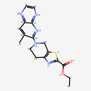 CCOC(=O)c1nc2c(s1)CN(c1nc3nccnc3cc1C)CC2